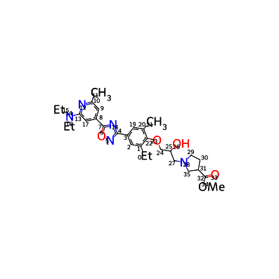 CCc1cc(-c2noc(-c3cc(C)nc(N(CC)CC)c3)n2)cc(C)c1OCC(O)CN1CCC(C(=O)OC)C1